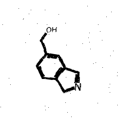 OCc1ccc2c(c1)C=NC2